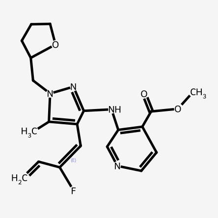 C=C/C(F)=C\c1c(Nc2cnccc2C(=O)OC)nn(CC2CCCO2)c1C